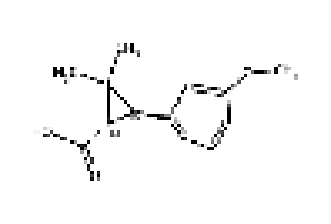 COc1cccc([C@H]2[C@H](C(=O)O)C2(C)C)c1